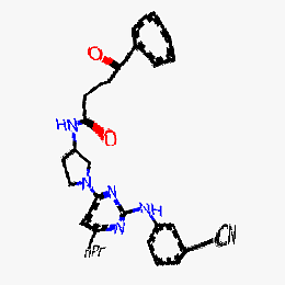 CCCc1cc(N2CCC(NC(=O)CCC(=O)c3ccccc3)C2)nc(Nc2cccc(C#N)c2)n1